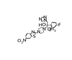 CC(N1CCN(c2nc3ccc([N+](=O)[O-])cc3s2)CC1)C(O)(Cn1cncn1)c1ccc(F)cc1F